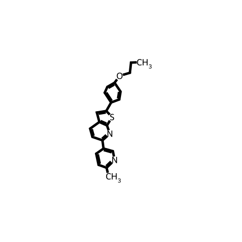 CCCOc1ccc(-c2cc3ccc(-c4ccc(C)nc4)nc3s2)cc1